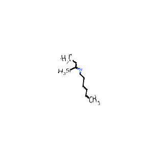 [CH2]CC([SiH3])=NCCCCCC